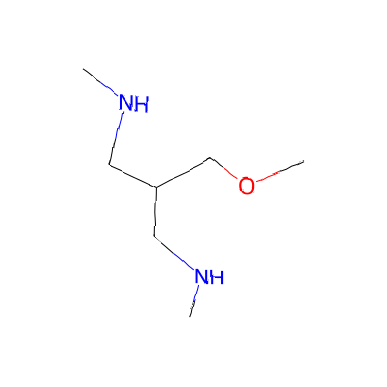 CNCC(CNC)COC